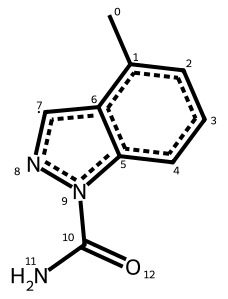 Cc1cccc2c1[c]nn2C(N)=O